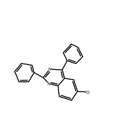 Clc1ccc2nc(-c3ccccc3)nc(-c3ccccc3)c2c1